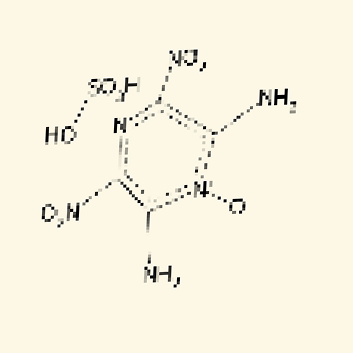 Nc1c([N+](=O)[O-])nc([N+](=O)[O-])c(N)[n+]1[O-].O=S(=O)(O)O